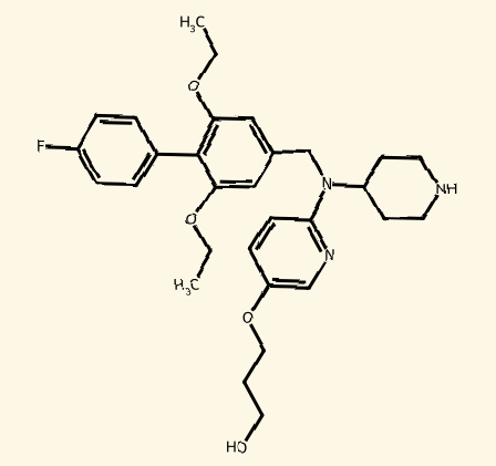 CCOc1cc(CN(c2ccc(OCCCO)cn2)C2CCNCC2)cc(OCC)c1-c1ccc(F)cc1